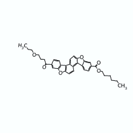 CCCCCCOC(=O)c1ccc2c(c1)oc1ccc3c(ccc4oc5cc(C(=O)CCCOCCC)ccc5c43)c12